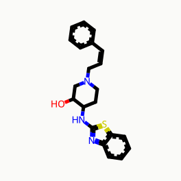 OC1CN(C/C=C\c2ccccc2)CCC1Nc1nc2ccccc2s1